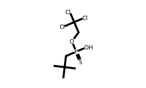 CC(C)(C)CP(O)(=S)OCC(Cl)(Cl)Cl